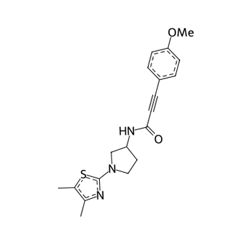 COc1ccc(C#CC(=O)NC2CCN(c3nc(C)c(C)s3)C2)cc1